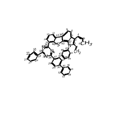 C=Cc1c(/C=C\C)c2ccc3c4cccc(-c5nc(-c6ccccc6)nc(-c6ccc(-c7ccccc7)cc6)n5)c4sc3c2n1-c1ccccc1